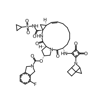 O=C1N[C@]2(C(=O)NS(=O)(=O)C3CC3)C[C@H]2/C=C\CCCCC[C@H](Nc2c(N3C4CCC45CC35)c(=O)c2=O)C(=O)N2C[C@H](OC(=O)N3Cc4cccc(F)c4C3)C[C@@H]12